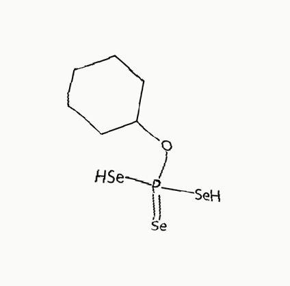 [Se]=P([SeH])([SeH])OC1CCCCC1